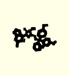 COc1ccc(C(OC[C@H]2OC(c3[nH]c(=O)nc4occc34)[C@H](F)[C@H]2O)(c2ccccc2)c2ccc(OC)cc2C)cc1